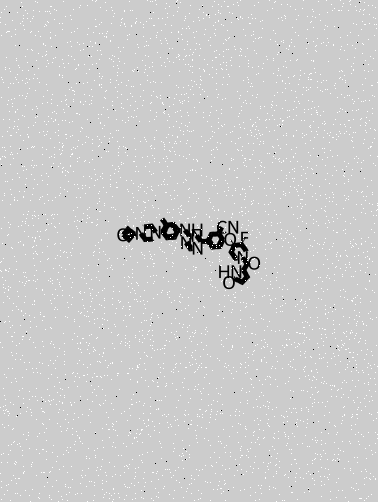 Cc1cc(Nc2ncnc(C3=CC=C(O[C@H]4CCN(C(=O)C5CCC(=O)N5)C[C@H]4F)C(C#N)C3)n2)ccc1N1CCN(C2COC2)CC1